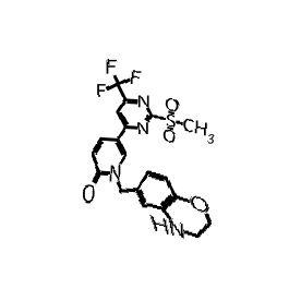 CS(=O)(=O)c1nc(-c2ccc(=O)n(Cc3ccc4c(c3)NCCO4)c2)cc(C(F)(F)F)n1